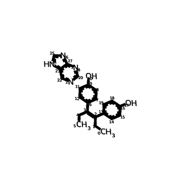 CCC(=C(CC)c1ccc(O)cc1)c1ccc(O)cc1.c1ncc2[nH]cnc2n1